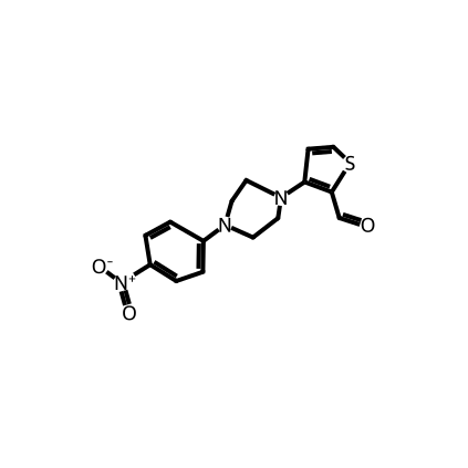 O=Cc1sccc1N1CCN(c2ccc([N+](=O)[O-])cc2)CC1